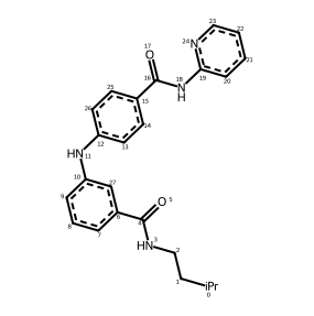 CC(C)CCNC(=O)c1cccc(Nc2ccc(C(=O)Nc3ccccn3)cc2)c1